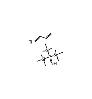 C=CC=C.C[Si](C)(C)P(=N)([Si](C)(C)C)[Si](C)(C)C.[Ti]